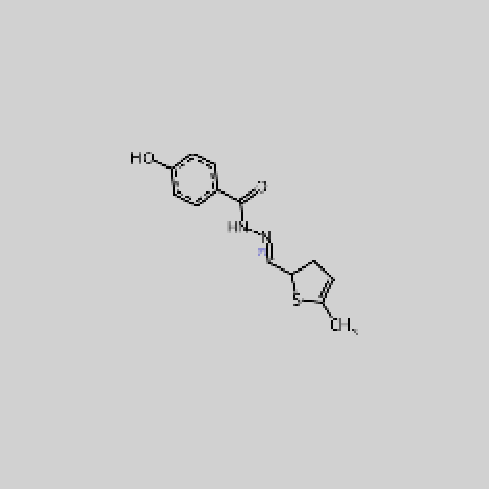 CC1=CCC(/C=N/NC(=O)c2ccc(O)cc2)S1